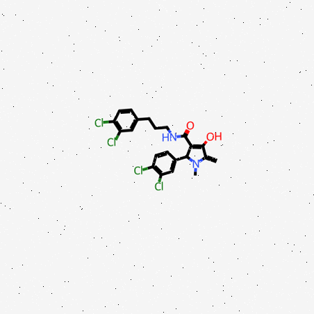 C=C1C(O)=C(C(=O)NCCCc2ccc(Cl)c(Cl)c2)C(c2ccc(Cl)c(Cl)c2)N1C